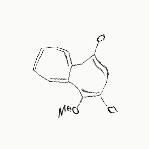 COc1c(Cl)cc(Cl)c2ccccc12